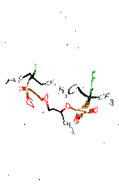 CC(COS(=O)(=O)C(C)(F)C(F)(F)F)OS(=O)(=O)C(C)(F)C(F)(F)F